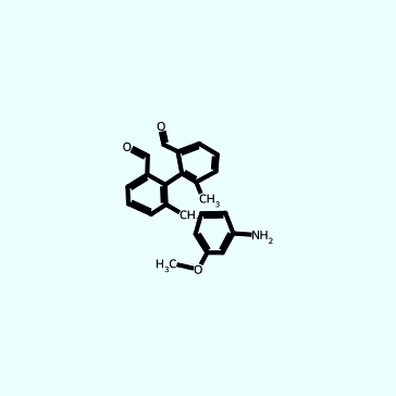 COc1cccc(N)c1.Cc1cccc(C=O)c1-c1c(C)cccc1C=O